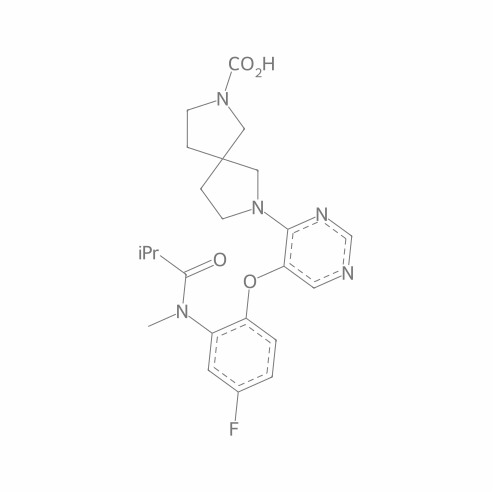 CC(C)C(=O)N(C)c1cc(F)ccc1Oc1cncnc1N1CCC2(CCN(C(=O)O)C2)C1